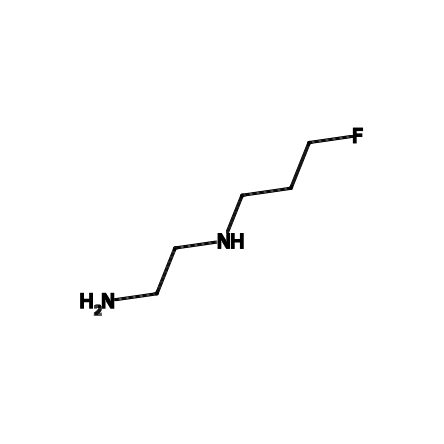 NCCNCCCF